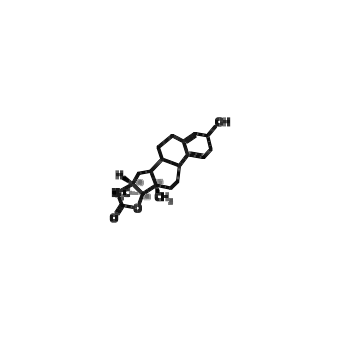 C[C@]12CCC3C4=CCC(O)C=C4CCC3C1C[C@H]1OC(=O)O[C@@]12C